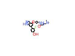 CN(C)C/C=C/C(=O)N[C@H]1C[C@H](Oc2cc(-c3ccc(O)cc3F)cc3[nH]ncc23)C1